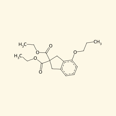 CCCOc1cccc2c1CC(C(=O)OCC)(C(=O)OCC)C2